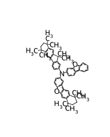 CC1(C)CCC(C)(C)c2cc3c(cc21)-c1ccc(N(c2ccc4c(c2)oc2ccccc24)c2ccc4oc5cc6c(cc5c4c2)C(C)(C)CCC6(C)C)cc1C3(C)C